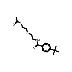 CC(=O)OCCOCCNC(=O)c1ccc(C(C)(C)C)cc1